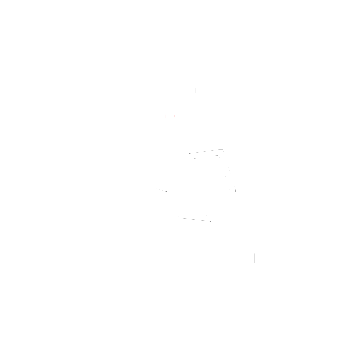 CCOc1ccc(C(=O)O)cc1B(O)O